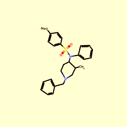 COc1ccc(S(=O)(=O)N(c2ccccc2)C2CCN(Cc3ccccc3)CC2C)cc1